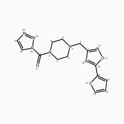 O=C(N1CCN(Cc2noc(-c3cccs3)n2)CC1)n1ccnn1